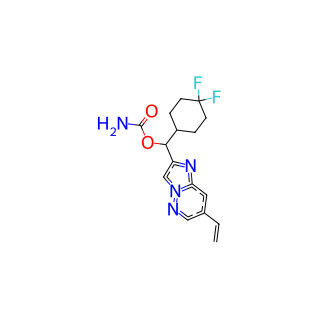 C=Cc1cnn2cc(C(OC(N)=O)C3CCC(F)(F)CC3)nc2c1